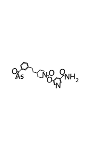 C[As](C)C(=O)c1cccc(CCC2CCN(C(=O)Oc3cncc(C(N)=O)c3)CC2)c1